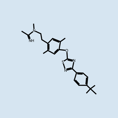 CC(=N)N(C)CCc1cc(C)c(Oc2nc(-c3ccc(C(C)(C)C)cc3)ns2)cc1C